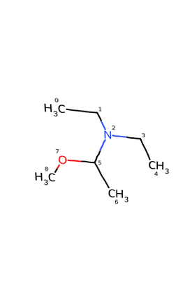 CCN(CC)C(C)OC